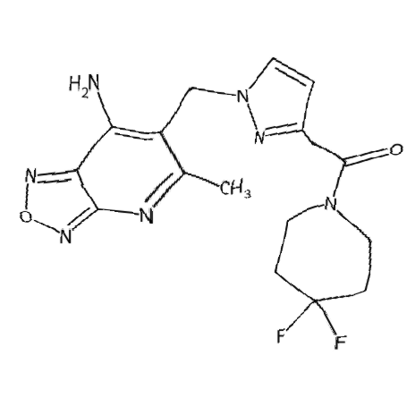 Cc1nc2nonc2c(N)c1Cn1ccc(C(=O)N2CCC(F)(F)CC2)n1